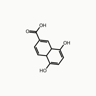 O=C(O)C1=CC2C(O)=CC=C(O)C2C=C1